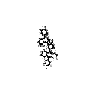 C1=CCCC(c2c3ccccc3c(-c3ccc4oc5c6sc7ccccc7c6c6ccccc6c5c4c3)c3ccccc23)=C1